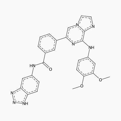 COc1ccc(Nc2nc(-c3cccc(C(=O)Nc4ccc5[nH]nnc5c4)c3)cn3ccnc23)cc1OC